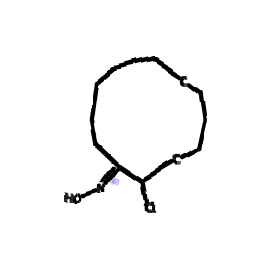 O/N=C1\CCCCCCCCCCC1Cl